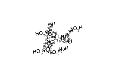 CC1(C)C(=CC=C(C=CC2N(CCCCS(=O)(=O)O)c3ccc4c(S(=O)(=O)O)cc(S(=O)(=O)O)cc4c3C2(C)C)c2cccc(OCCCCO)c2)N=C2C1=CC(Cl)=CN2CCCCS(=O)(=O)O.[NaH]